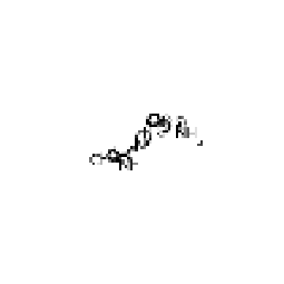 NC(=O)C1COc2c(cccc2N2CCN(CCc3c[nH]c4cc(Cl)ccc34)CC2)O1